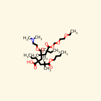 CCCCOC(=O)C(C)(C)CC(CCC)(CC(C)(CC(C)(CC)C(=O)OCOCCOCC)C(=O)OCCN(C)C)C(=O)O